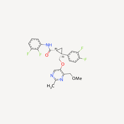 COCc1nc(C)ncc1OC[C@@]1(c2ccc(F)c(F)c2)C[C@H]1C(=O)Nc1cccc(F)c1F